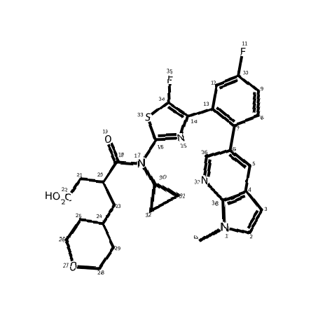 Cn1ccc2cc(-c3ccc(F)cc3-c3nc(N(C(=O)C(CC(=O)O)CC4CCOCC4)C4CC4)sc3F)cnc21